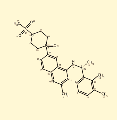 Cc1nc(N[C@H](C)c2cccc(C(F)(F)F)c2C)c2cc(P3(=O)CCN(S(C)(=O)=O)CC3)ncc2n1